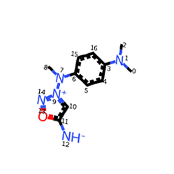 CN(C)c1ccc(N(C)[n+]2cc([NH-])on2)cc1